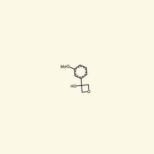 COc1cccc(C2(O)COC2)c1